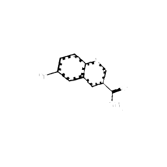 CC(C)c1ccc2ncc(C(N)=O)cc2c1